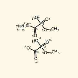 COP(=O)(O)C(=O)[O-].COP(=O)(O)C(=O)[O-].[Na+].[Na+]